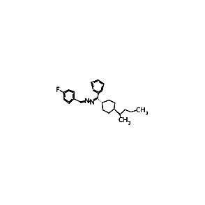 CCCC(C)[C@H]1CC[C@H](C(=NN=Cc2ccc(F)cc2)c2ccccc2)CC1